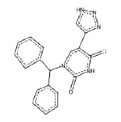 O=c1[nH]c(=O)n(C(c2ccccc2)c2ccccc2)cc1-c1c[nH]nn1